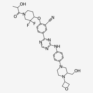 CC(O)C(=O)N1CCC(Oc2ccc(-c3ncnc(Nc4ccc(N5CCN(C6COC6)C(CO)C5)cc4)n3)cc2C#N)C(F)(F)C1